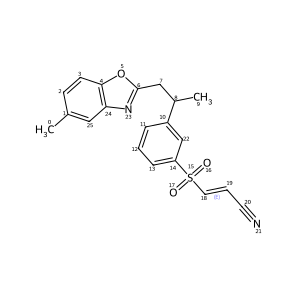 Cc1ccc2oc(CC(C)c3cccc(S(=O)(=O)/C=C/C#N)c3)nc2c1